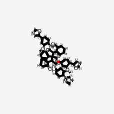 COc1cc(-c2cnco2)ccc1NC(=O)C(c1ccccc1Cl)C(C(=O)Nc1ccc(-c2cnco2)cc1)(c1ccccc1Cl)C(C(=O)Nc1ccc(-n2cncn2)c(OC)c1)c1ccccc1Cl